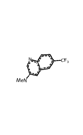 CNc1cnc2ccc(C(F)(F)F)cc2c1